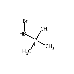 C[PH](C)(C)BBr